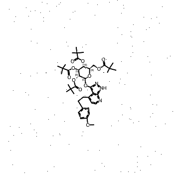 COc1ccc(CCc2ccnc3[nH]nc(O[C@@H]4O[C@H](COC(=O)C(C)(C)C)[C@@H](OC(=O)C(C)(C)C)[C@H](OC(=O)C(C)(C)C)[C@H]4OC(=O)C(C)(C)C)c23)cc1